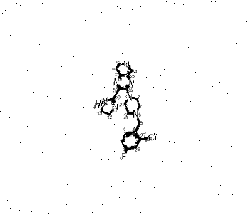 Fc1ccc(CN2CCN(c3nc4cnccc4nc3C3=NCCN3)CC2)c(Cl)c1